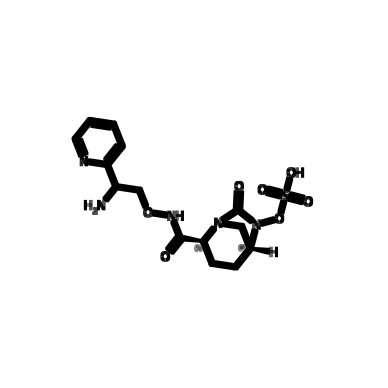 NC(CONC(=O)[C@@H]1CC[C@@H]2CN1C(=O)N2OS(=O)(=O)O)c1ccccn1